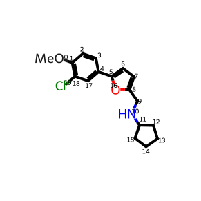 COc1ccc(-c2ccc(CNC3CCCC3)o2)cc1Cl